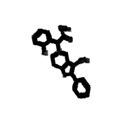 COC(=O)C(c1ccccc1Cl)N1CCc2sc(-c3ccccc3)c(OC(C)=O)c2C1